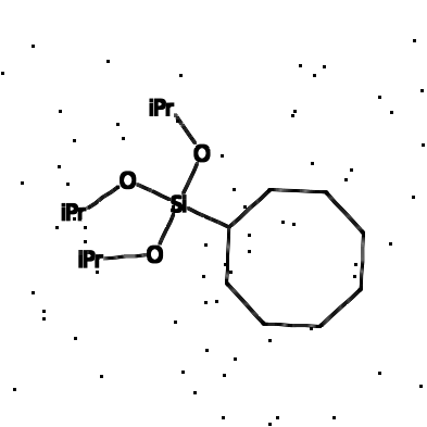 CC(C)O[Si](OC(C)C)(OC(C)C)C1CCCCCCC1